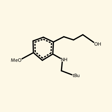 COc1ccc(CCCO)c(NCC(C)(C)C)c1